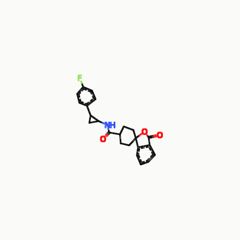 O=C1OC2(CCC(C(=O)NC3CC3c3ccc(F)cc3)CC2)c2ccccc21